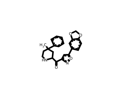 CC1(c2ccccc2)CCNC(C(=O)c2cc(-c3ccc4c(c3)OCO4)on2)C1